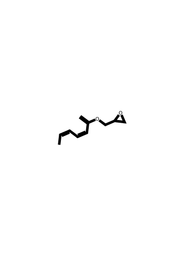 C=C(/C=C\C=C/C)OCC1CO1